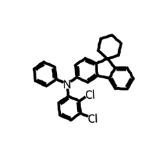 Clc1cccc(N(c2ccccc2)c2ccc3c(c2)-c2ccccc2C32CCCCC2)c1Cl